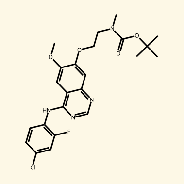 COc1cc2c(Nc3ccc(Cl)cc3F)ncnc2cc1OCCN(C)C(=O)OC(C)(C)C